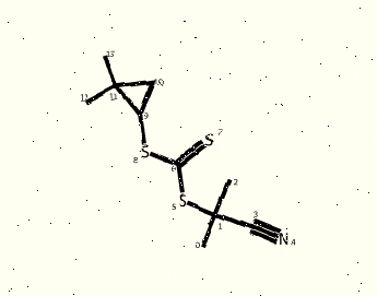 CC(C)(C#N)SC(=S)SC1CC1(C)C